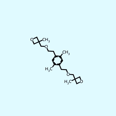 Cc1cc(CCOCC2(C)COC2)c(C)cc1CCOCC1(C)COC1